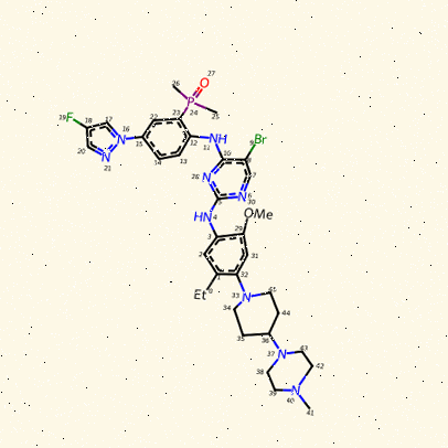 CCc1cc(Nc2ncc(Br)c(Nc3ccc(-n4cc(F)cn4)cc3P(C)(C)=O)n2)c(OC)cc1N1CCC(N2CCN(C)CC2)CC1